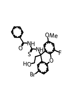 COc1cc(F)c2c(c1)C(CCO)(NC(=S)NC(=O)c1ccccc1)c1cc(Br)ccc1O2